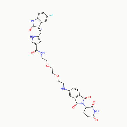 O=C1CCC(N2C(=O)c3ccc(NCCOCCOCCNC(=O)c4c[nH]c(/C=C5\C(=O)Nc6ccc(F)cc65)c4)cc3C2=O)C(=O)N1